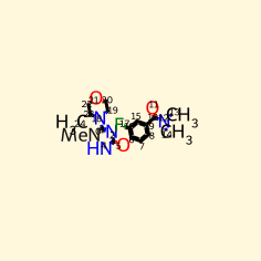 CN/C(=N\C(=N)Oc1ccc(C(=O)N(C)C)cc1F)N1CCOC[C@@H]1C